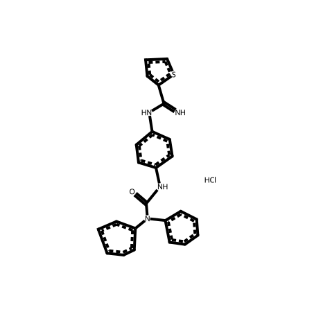 Cl.N=C(Nc1ccc(NC(=O)N(c2ccccc2)c2ccccc2)cc1)c1cccs1